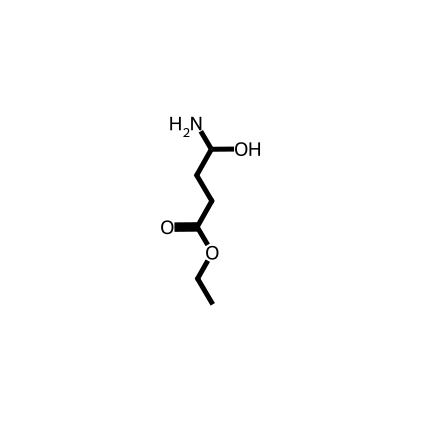 CCOC(=O)CCC(N)O